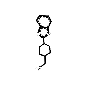 CCC1CCC(c2nc3ccccc3o2)CC1